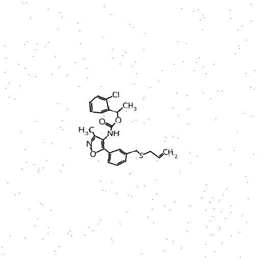 C=CCSCc1cccc(-c2onc(C)c2NC(=O)OC(C)c2ccccc2Cl)c1